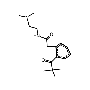 CN(C)CCNC(=O)Cc1ccccc1C(=O)C(C)(C)C